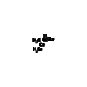 [AlH3].[Au].[Cu].[GaH3].[SeH2]